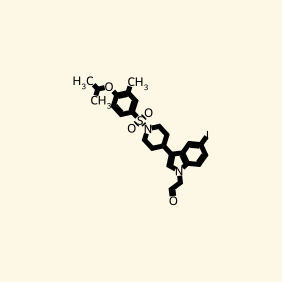 Cc1cc(S(=O)(=O)N2CCC(c3cn(CC=O)c4ccc(I)cc34)CC2)ccc1OC(C)C